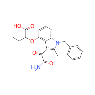 CCC(Oc1cccc2c1c(C(=O)C(N)=O)c(C)n2Cc1ccccc1)C(=O)O